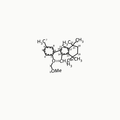 COCOc1ccc(C)cc1-c1sc2c(c1C)C(C)(C)CCC2(C)C